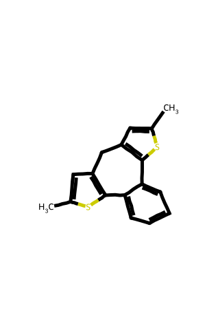 Cc1cc2c(s1)-c1ccccc1-c1sc(C)cc1C2